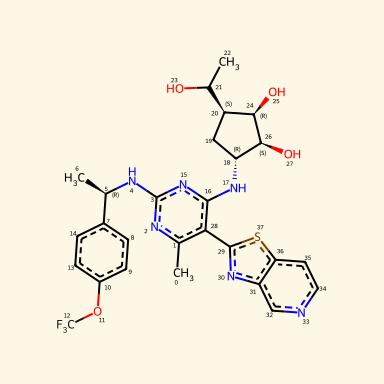 Cc1nc(N[C@H](C)c2ccc(OC(F)(F)F)cc2)nc(N[C@@H]2C[C@@H](C(C)O)[C@@H](O)[C@H]2O)c1-c1nc2cnccc2s1